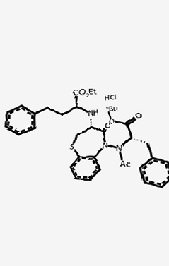 CCOC(=O)[C@H](CCc1ccccc1)N[C@H]1CSc2ccccc2N(N(C(C)=O)[C@@H](Cc2ccccc2)C(=O)OC(C)(C)C)C1=O.Cl